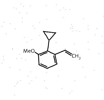 C=[C]c1cccc(OC)c1C1CC1